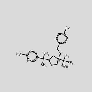 COC(C(F)(F)F)(C(F)(F)F)[C@]1(CCc2ccc(C#N)cc2)CCN(C(C)(C)c2ccc(C)nc2)C1